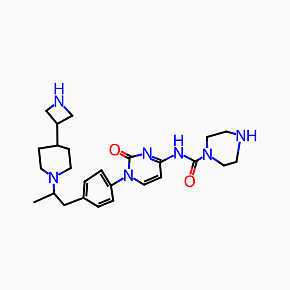 CC(Cc1ccc(-n2ccc(NC(=O)N3CCNCC3)nc2=O)cc1)N1CCC(C2CNC2)CC1